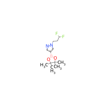 CC1(C)OB(c2cnn(CCC(F)F)c2)OC1(C)C